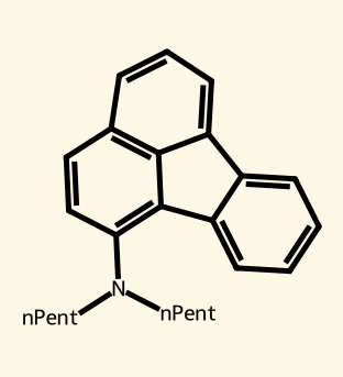 CCCCCN(CCCCC)c1ccc2cccc3c2c1-c1ccccc1-3